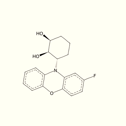 O[C@H]1[C@@H](O)CCC[C@@H]1N1c2ccccc2Oc2ccc(F)cc21